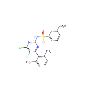 Cc1cccc(C)c1-c1nc(NS(=O)(=O)c2cccc(C(=O)O)c2)nc(Cl)c1F